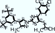 Cc1nn(-c2nc(-c3ccc(Cl)c(Cl)c3)c(SC(C)C)s2)[c]c1-c1cc(C(F)(F)F)cc(C(F)(F)F)c1